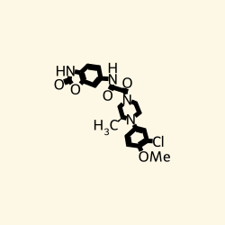 COc1ccc(N2CCN(C(=O)C(=O)Nc3ccc4[nH]c(=O)oc4c3)C[C@H]2C)cc1Cl